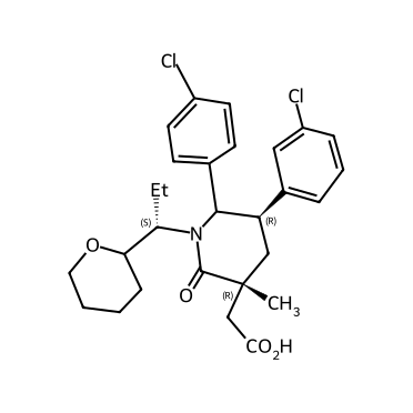 CC[C@@H](C1CCCCO1)N1C(=O)[C@@](C)(CC(=O)O)C[C@H](c2cccc(Cl)c2)C1c1ccc(Cl)cc1